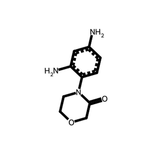 Nc1ccc(N2CCOCC2=O)c(N)c1